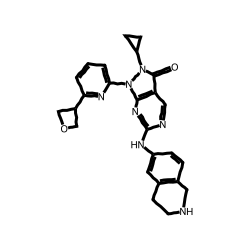 O=c1c2cnc(Nc3ccc4c(c3)CCNC4)nc2n(-c2cccc(C3COC3)n2)n1C1CC1